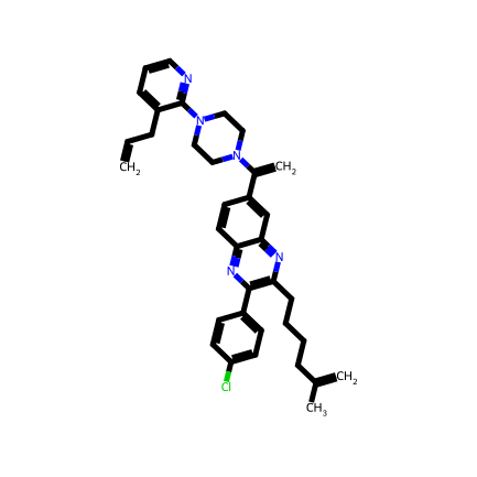 C=CCc1cccnc1N1CCN(C(=C)c2ccc3nc(-c4ccc(Cl)cc4)c(CCCCC(=C)C)nc3c2)CC1